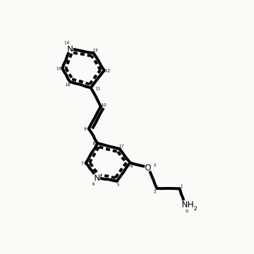 NCCOc1cncc(/C=C/c2ccncc2)c1